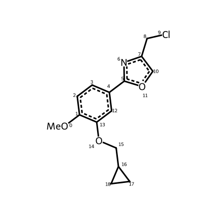 COc1ccc(-c2nc(CCl)co2)cc1OCC1CC1